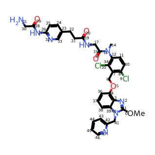 COc1nc2c(OCc3c(Cl)ccc(N(C)C(=O)CNC(=O)CCc4ccc(NC(=O)CN)nc4)c3Cl)cccc2n1Cc1ccccn1